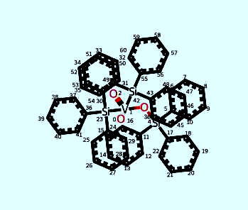 [O]=[V](=[O])([O][Si](c1ccccc1)(c1ccccc1)c1ccccc1)([Si](c1ccccc1)(c1ccccc1)c1ccccc1)[Si](c1ccccc1)(c1ccccc1)c1ccccc1